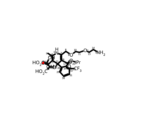 COC(=O)C1=C(C)NC(COCCOCCN)=C(C(=O)OC(C)C)C1(OC(C(=O)O)C(O)C(=O)O)c1cccc(C(F)(F)F)c1Cl